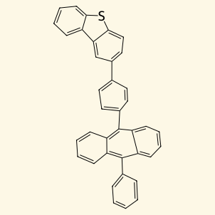 c1ccc(-c2c3ccccc3c(-c3ccc(-c4ccc5sc6ccccc6c5c4)cc3)c3ccccc23)cc1